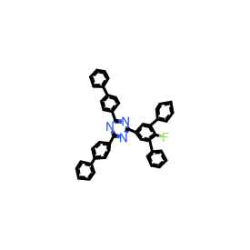 Fc1c(-c2ccccc2)cc(-c2nc(-c3ccc(-c4ccccc4)cc3)nc(-c3ccc(-c4ccccc4)cc3)n2)cc1-c1ccccc1